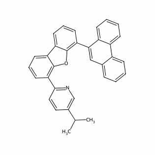 CC(C)c1ccc(-c2cccc3c2oc2c(-c4cc5ccccc5c5ccccc45)cccc23)nc1